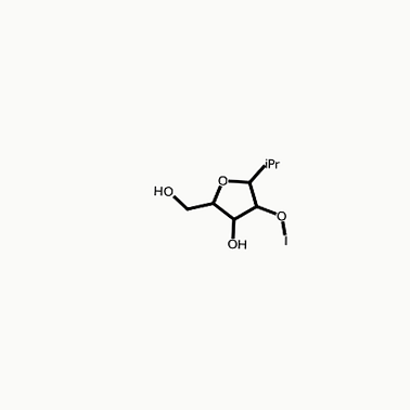 CC(C)C1OC(CO)C(O)C1OI